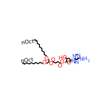 CCCCCCCC/C=C\CCCCCCCCOCC(COCCCCCCCC/C=C\CCCCCCCC)OC(=O)CCC(=O)OC[C@H]1O[C@@H](n2cnc3c(N)ncnc32)CC1O